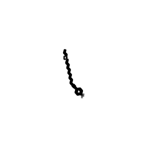 CCCOCCCCCCCCCCC#Cc1ccc(F)cc1